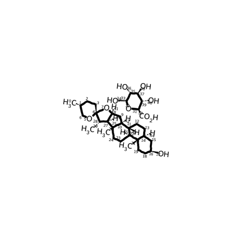 C[C@@H]1CC[C@@]2(OC1)O[C@H]1C[C@H]3[C@@H]4CC[C@H]5C[C@@H](O)CC[C@]5(C)[C@H]4CC[C@]3(C)[C@H]1[C@@H]2C.O=C(O)[C@H]1O[C@@H](O)[C@H](O)[C@@H](O)[C@@H]1O